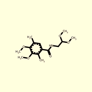 COc1c(C)cc(C(=O)NCC(OC)OC)c(C)c1OC